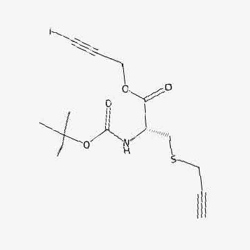 C#CCSC[C@H](NC(=O)OC(C)(C)C)C(=O)OCC#CI